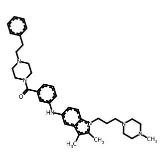 Cc1c(C)n(CCCN2CCN(C)CC2)c2ccc(Nc3cccc(C(=O)N4CCN(CCc5ccccc5)CC4)c3)cc12